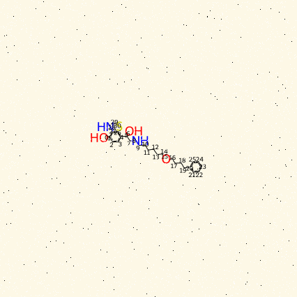 Oc1ccc(C(O)CNCCCCCCOCCCCc2ccccc2)c2c1NCS2